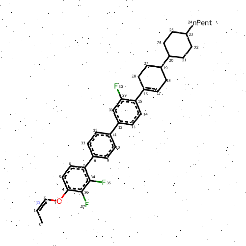 C/C=C\Oc1ccc(-c2ccc(-c3ccc(C4=CCC(C5CCC(CCCCC)CC5)CC4)c(F)c3)cc2)c(F)c1F